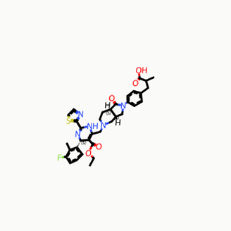 CCOC(=O)C1=C(CN2CC[C@@H]3C(=O)N(c4ccc(CC(C)C(=O)O)cc4)C[C@@H]3C2)NC(c2nccs2)=N[C@H]1c1cccc(F)c1C